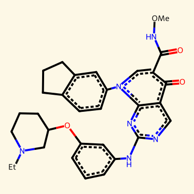 CCN1CCCC(Oc2cccc(Nc3ncc4c(=O)c(C(=O)NOC)cn(-c5ccc6c(c5)CCC6)c4n3)c2)C1